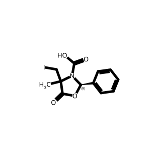 CC1(CI)C(=O)O[C@H](c2ccccc2)N1C(=O)O